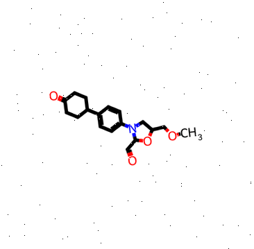 COCC1CN(c2ccc(C3CCC(=O)CC3)cc2)C(C=O)O1